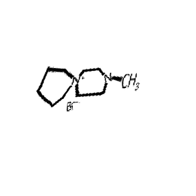 CN1CC[N+]2(CCCCC2)CC1.[Br-]